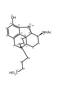 CC(=O)N[C@H]1CCC2C3Cc4ccc(O)c5c4C2(CCN3CCCC(=O)O)[C@H]1O5